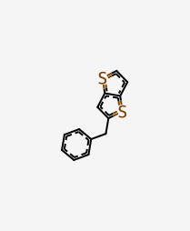 c1ccc(Cc2cc3sccc3s2)cc1